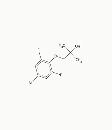 CC(C)(O)COc1c(F)cc(Br)cc1F